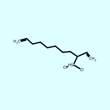 C=CCCCCCCC(C=C)[SiH](Cl)Cl